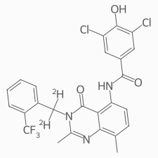 [2H]C([2H])(c1ccccc1C(F)(F)F)n1c(C)nc2c(C)ccc(NC(=O)c3cc(Cl)c(O)c(Cl)c3)c2c1=O